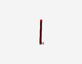 B=BB=BB=BB=BB=BB=BB=BB=BB=BB=BB=BB=BB=BB=BB=BB=BB=BB=BB=BB=BB=BB=BOC